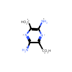 Nc1nc(C(=O)O)c(N)nc1C(=O)O